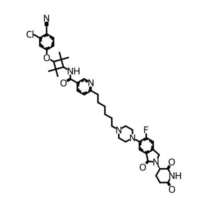 CC1(C)C(NC(=O)c2ccc(CCCCCCN3CCN(c4cc5c(cc4F)CN([C@@H]4CCC(=O)NC4=O)C5=O)CC3)nc2)C(C)(C)C1Oc1ccc(C#N)c(Cl)c1